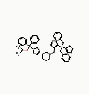 C1=CC[C]([Zr]([CH2]c2ccccc2)([CH2]c2ccccc2)[C]2=C(CC3CCCCC3)C=CC2)=C1.CC(C)[O][Zr]([C]1=CC=CC1)([c]1ccccc1)[c]1ccccc1